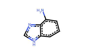 Nc1c[c]cc2[nH]cnc12